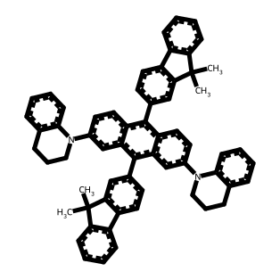 CC1(C)c2ccccc2-c2ccc(-c3c4ccc(N5CCCc6ccccc65)cc4c(-c4ccc5c(c4)C(C)(C)c4ccccc4-5)c4cc(N5CCCc6ccccc65)ccc34)cc21